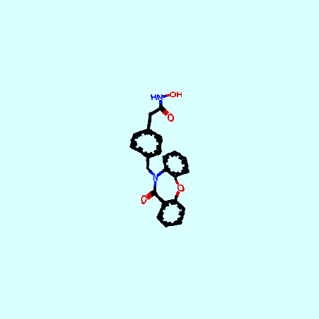 O=C(Cc1ccc(CN2C(=O)c3ccccc3Oc3ccccc32)cc1)NO